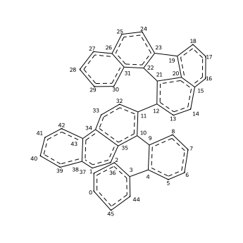 c1ccc(-c2ccccc2-c2c(-c3ccc4cccc5c4c3-c3c-5ccc4ccccc34)ccc3c2ccc2ccccc23)cc1